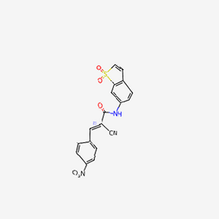 N#C/C(=C\c1ccc([N+](=O)[O-])cc1)C(=O)Nc1ccc2c(c1)S(=O)(=O)C=C2